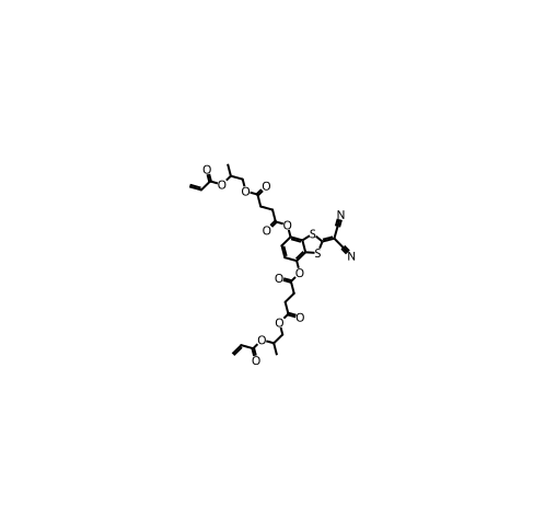 C=CC(=O)OC(C)COC(=O)CCC(=O)Oc1ccc(OC(=O)CCC(=O)OCC(C)OC(=O)C=C)c2c1SC(=C(C#N)C#N)S2